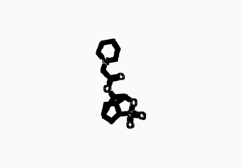 O=C(CN1CCCCC1)OC1C2CC3C1OS(=O)(=O)C3C2